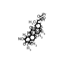 CC(C)S(=O)(=O)NC[C@@]1(C)CC[C@]2(C)CC[C@@]3(C)[C@]4(C)CC[C@H]5C(C)(C)C(=O)C(C#N)=C[C@]5(C)C4=CC(=O)[C@]3(O)[C@@H]2C1